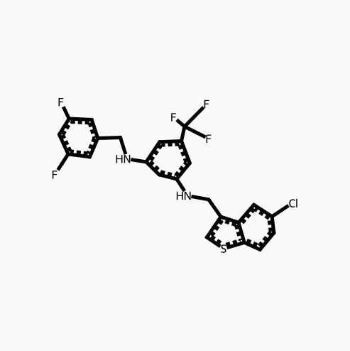 Fc1cc(F)cc(CNc2cc(NCc3csc4ccc(Cl)cc34)cc(C(F)(F)F)c2)c1